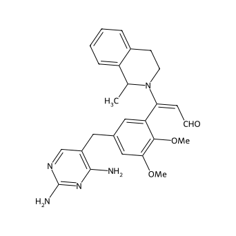 COc1cc(Cc2cnc(N)nc2N)cc(C(=CC=O)N2CCc3ccccc3C2C)c1OC